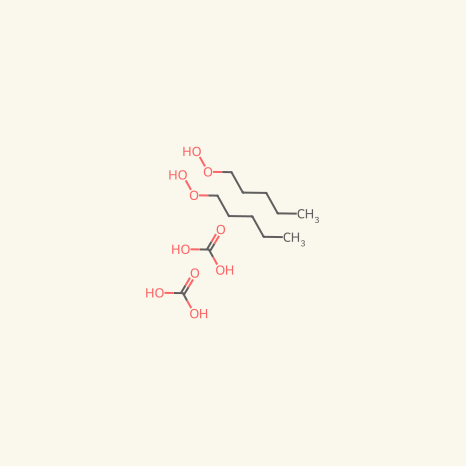 CCCCCOO.CCCCCOO.O=C(O)O.O=C(O)O